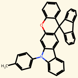 Cc1ccc(-n2c3ccccc3c3cc4c(cc32)Oc2ccccc2C42c3ccccc3-c3ccccc32)cc1